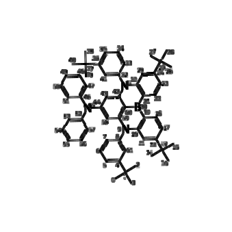 CC(C)(C)c1cccc(N2c3cc(C(C)(C)C)ccc3B3c4ccc(C(C)(C)C)cc4N(c4cccc(C(C)(C)C)c4)c4cc(N(c5ccccc5)c5ccccc5)cc2c43)c1